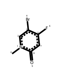 Cn1cc(Br)c(F)cc1=O